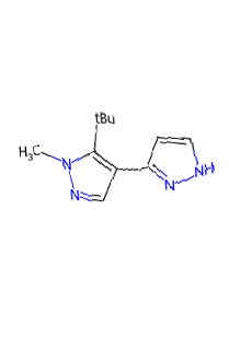 Cn1ncc(-c2cc[nH]n2)c1C(C)(C)C